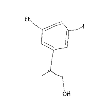 CCc1cc(I)cc([C](C)CO)c1